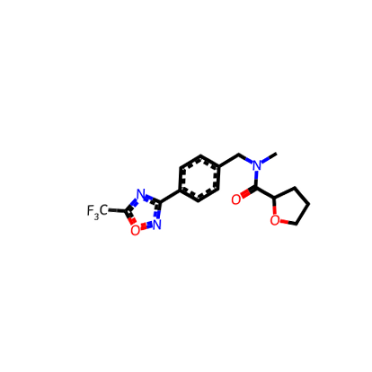 CN(Cc1ccc(-c2noc(C(F)(F)F)n2)cc1)C(=O)C1CCCO1